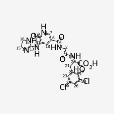 O=C(CNC(=O)c1c[nH]c(=O)c(NC2=NCCN2)c1)N[C@@H](Cc1cc(Cl)cc(Cl)c1O)C(=O)O